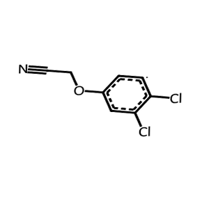 N#CCOc1c[c]c(Cl)c(Cl)c1